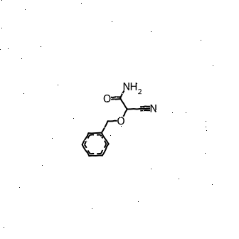 N#CC(OCc1ccccc1)C(N)=O